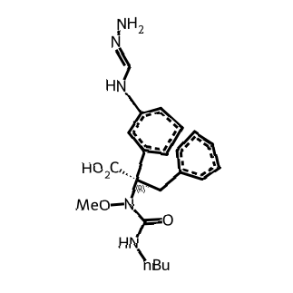 CCCCNC(=O)N(OC)[C@@](Cc1ccccc1)(C(=O)O)c1cccc(NC=NN)c1